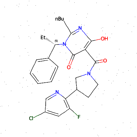 CCCCc1nc(O)c(C(=O)N2CCC(c3ncc(Cl)cc3F)C2)c(=O)n1[C@@H](CC)c1ccccc1